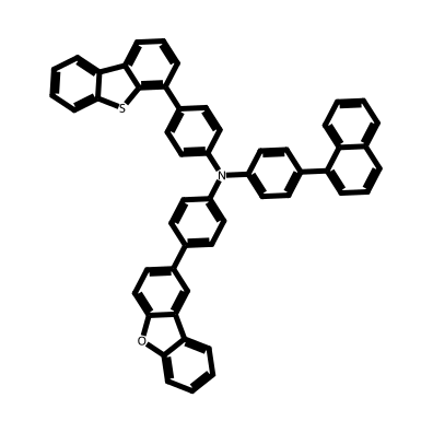 c1ccc2c(-c3ccc(N(c4ccc(-c5ccc6oc7ccccc7c6c5)cc4)c4ccc(-c5cccc6c5sc5ccccc56)cc4)cc3)cccc2c1